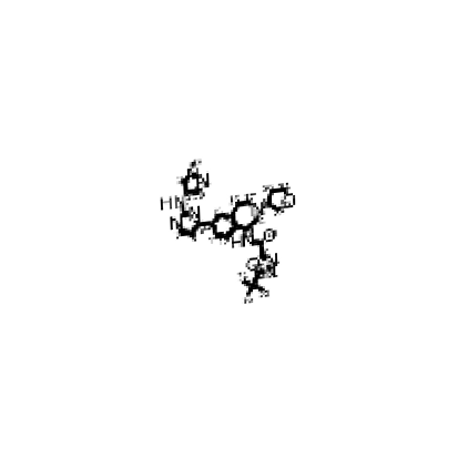 Cn1cc(Nc2nccc(-c3ccc4c(c3)CCN([C@H]3CCOC3)C[C@@H]4NC(=O)c3nnc(C(C)(C)C)o3)n2)cn1